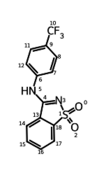 O=S1(=O)N=C(Nc2ccc(C(F)(F)F)cc2)c2ccccc21